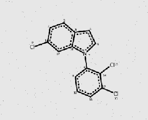 Clc1ccc2ccn(-c3cccc(Cl)c3Cl)c2c1